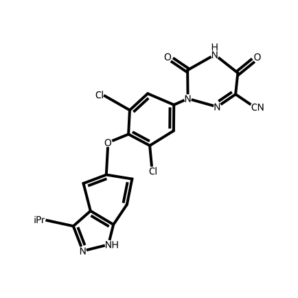 CC(C)c1n[nH]c2ccc(Oc3c(Cl)cc(-n4nc(C#N)c(=O)[nH]c4=O)cc3Cl)cc12